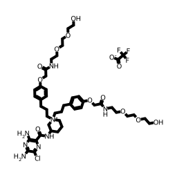 Nc1nc(N)c(C(=O)NC2CCC[N+](CCCc3ccc(OCC(=O)NCCOCCOCCO)cc3)(CCCc3ccc(OCC(=O)NCCOCCOCCO)cc3)C2)nc1Cl.O=C([O-])C(F)(F)F